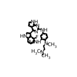 CC(=O)Nc1cc(Nc2nc(-c3c[nH]c4cccc(F)c34)c3cc[nH]c3n2)ccc1N(C)CCN(C)C